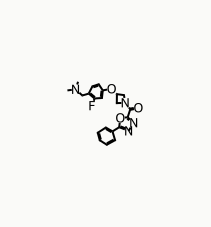 CN(C)Cc1ccc(OC2CN(C(=O)c3nnc(-c4ccccc4)o3)C2)cc1F